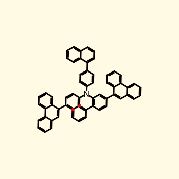 c1ccc(-c2ccc(-c3cc4ccccc4c4ccccc34)cc2N(c2ccc(-c3cccc4ccccc34)cc2)c2ccc(-c3cc4ccccc4c4ccccc34)cc2)cc1